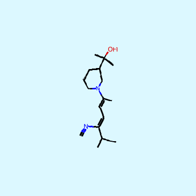 C=N/C(=C\C=C(/C)N1CCCC(C(C)(C)O)C1)C(C)C